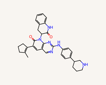 CC1=C(c2cc3cnc(Nc4ccc(C5CCCNC5)cc4)nc3n(C3Cc4ccccc4NC3=O)c2=O)CCC1